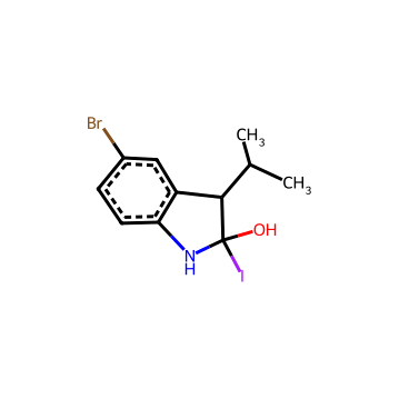 CC(C)C1c2cc(Br)ccc2NC1(O)I